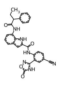 CCC(C(=O)Nc1cccc2cc(C(=O)Nc3ccc(C#N)cc3-c3noc(=O)[nH]3)[nH]c12)c1ccccc1